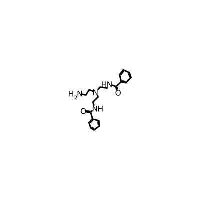 NCCN(CCNC(=O)c1ccccc1)CCNC(=O)c1ccccc1